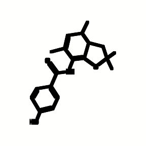 CC1=CC(C)C2CC(C)(C)OC2=C1NC(=O)c1ccc(O)cc1